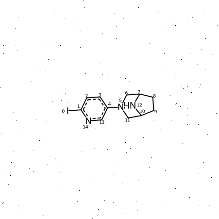 Ic1ccc(N2CC3CCC(C2)N3)cn1